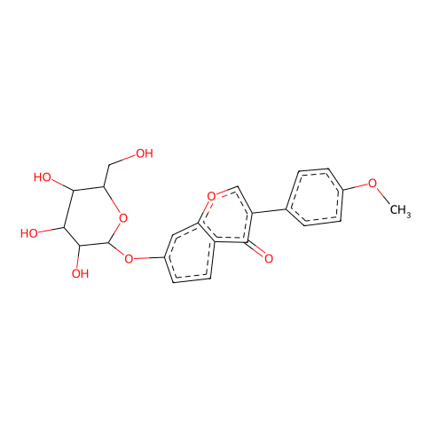 COc1ccc(-c2coc3cc(OC4OC(CO)C(O)C(O)C4O)ccc3c2=O)cc1